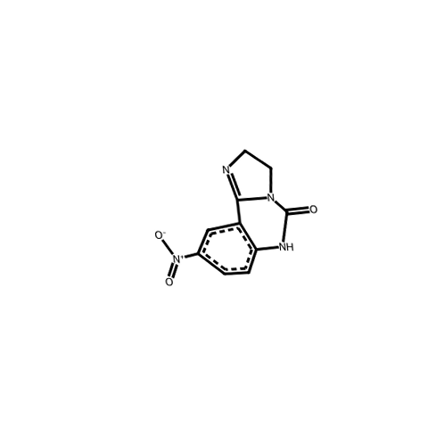 O=C1Nc2ccc([N+](=O)[O-])cc2C2=NCCN12